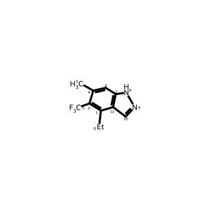 CCc1c(C(F)(F)F)c(C)cc2[nH]ncc12